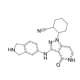 N#CC1CCCCC1n1nc(Nc2ccc3c(c2)CNC3)c2c(=O)[nH]ccc21